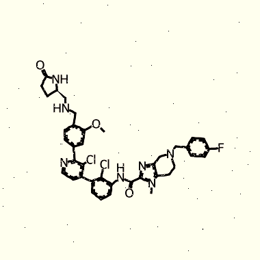 COc1cc(-c2nccc(-c3cccc(NC(=O)c4nc5c(n4C)CCN(Cc4ccc(F)cc4)C5)c3Cl)c2Cl)ccc1CNC[C@H]1CCC(=O)N1